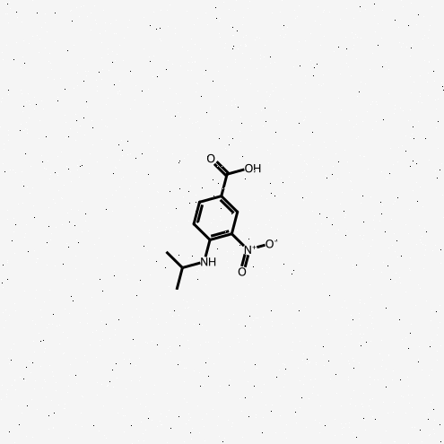 CC(C)Nc1ccc(C(=O)O)cc1[N+](=O)[O-]